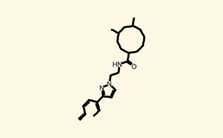 C=C/C=C\C(=C/C)c1ccn(CCNC(=O)C2CCCCC(C)CC(C)CC2)n1